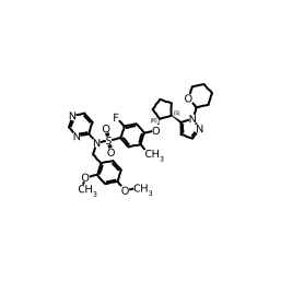 COc1ccc(CN(c2ccncn2)S(=O)(=O)c2cc(C)c(O[C@@H]3CCC[C@H]3c3ccnn3C3CCCCO3)cc2F)c(OC)c1